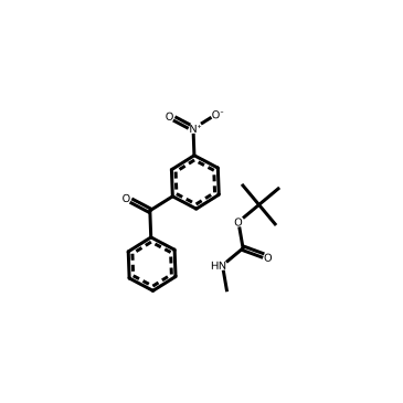 CNC(=O)OC(C)(C)C.O=C(c1ccccc1)c1cccc([N+](=O)[O-])c1